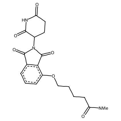 CNC(=O)CCCCOc1cccc2c1C(=O)N(C1CCC(=O)NC1=O)C2=O